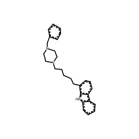 c1ccc(CN2CCN(CCCCCc3cccc4c3[nH]c3ccccc34)CC2)cc1